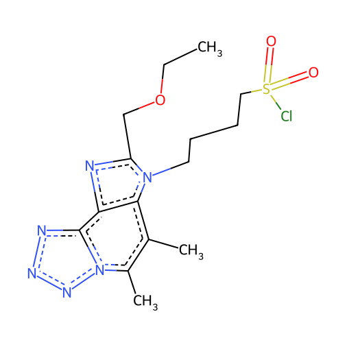 CCOCc1nc2c(c(C)c(C)n3nnnc23)n1CCCCS(=O)(=O)Cl